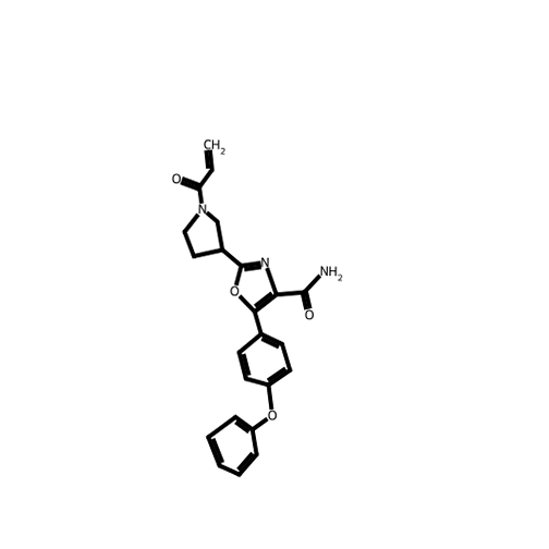 C=CC(=O)N1CCC(c2nc(C(N)=O)c(-c3ccc(Oc4ccccc4)cc3)o2)C1